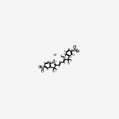 CN1C(=CC=CC2=[N+](C)c3ccc([N+](=O)[O-])cc3C2(C)C)C(C)(C)c2cc([N+](=O)[O-])ccc21.[I-]